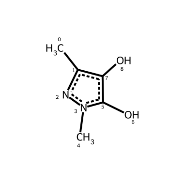 Cc1nn(C)c(O)c1O